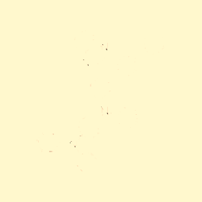 c1ccc(-c2cccc(-c3nc4ccccc4nc3-c3ccc(N(c4ccccc4)c4ccc5c(c4)c4ccccc4n5-c4ccccc4)cc3)c2)cc1